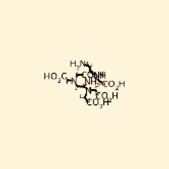 NC(CN(CC(=O)O)CC(=O)O)N(CC(=O)O)CC(=O)O.NCCNCC(=O)O